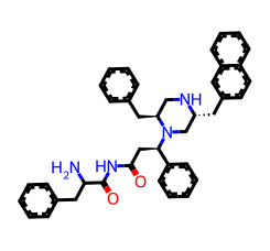 NC(Cc1ccccc1)C(=O)NC(=O)C[C@H](c1ccccc1)N1C[C@@H](Cc2ccc3ccccc3c2)NC[C@@H]1Cc1ccccc1